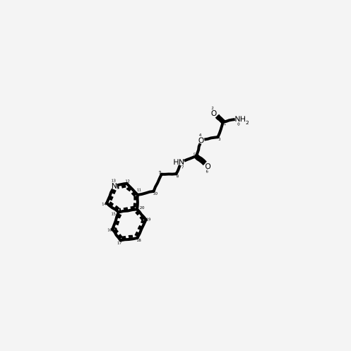 NC(=O)COC(=O)NCCCc1cncc2ccccc12